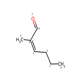 CCCC=C(C)[C]=O